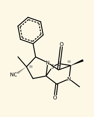 CN1C(=O)C23C[C@](C)(C#N)C(c4ccccc4)N2C(=O)[C@]1(C)SS3